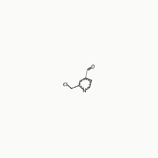 O=Cc1ccnc(CCl)c1